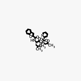 CC(=O)CN(NC(=O)[C@H](CC(C)C)NC(=O)c1cc2ccccc2o1)S(=O)(=O)c1ccccn1